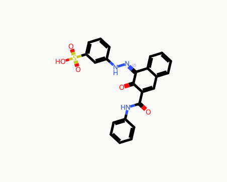 O=C(Nc1ccccc1)C1=Cc2ccccc2/C(=N/Nc2cccc(S(=O)(=O)O)c2)C1=O